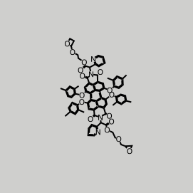 Cc1ccc(Oc2cc3c4c(cc(Oc5ccc(C)cc5C)c5c6c(Oc7ccc(C)cc7C)cc7c8c(cc(Oc9ccc(C)cc9C)c(c2c45)c86)C(=O)N(C(C(=O)OCCOC2CCO2)c2ccccn2)C7=O)C(=O)N(C(C(=O)OCCOCC2CO2)c2ccccn2)C3=O)c(C)c1